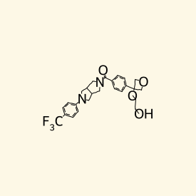 O=C(c1ccc(C2(OCCO)COC2)cc1)N1CC2CN(c3ccc(C(F)(F)F)cc3)CC2C1